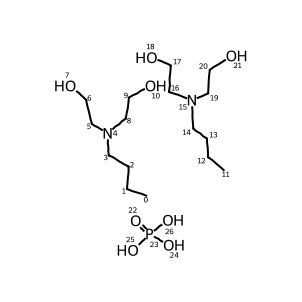 CCCCN(CCO)CCO.CCCCN(CCO)CCO.O=P(O)(O)O